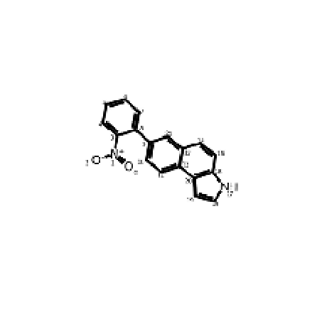 O=[N+]([O-])c1ccccc1-c1ccc2c(ccc3[nH]ccc32)c1